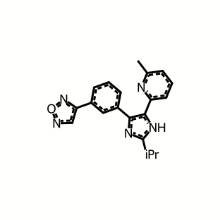 Cc1cccc(-c2[nH]c(C(C)C)nc2-c2cccc(-c3cnon3)c2)n1